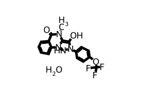 CN1C(=O)c2ccccc2N2NN(c3ccc(OC(F)(F)F)cc3)C(O)=C12.O